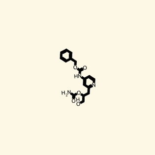 NC(=O)OC(CO)Cc1cc(NC(=O)OCc2ccccc2)ccn1